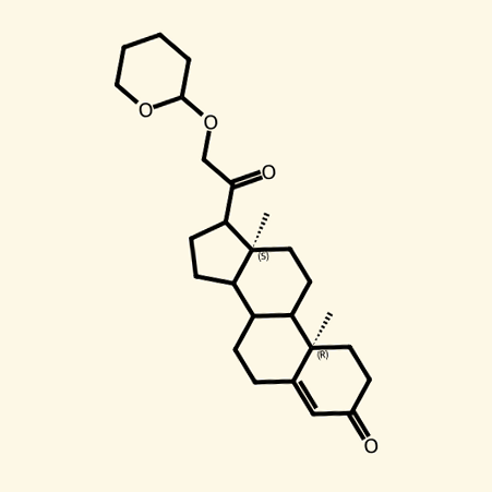 C[C@]12CCC3C(CCC4=CC(=O)CC[C@@]43C)C1CCC2C(=O)COC1CCCCO1